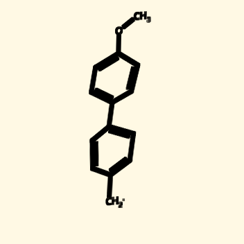 [CH2]c1ccc(-c2ccc(OC)cc2)cc1